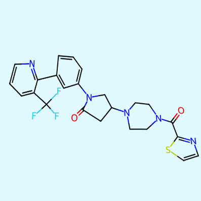 O=C(c1nccs1)N1CCN(C2CC(=O)N(c3cccc(-c4ncccc4C(F)(F)F)c3)C2)CC1